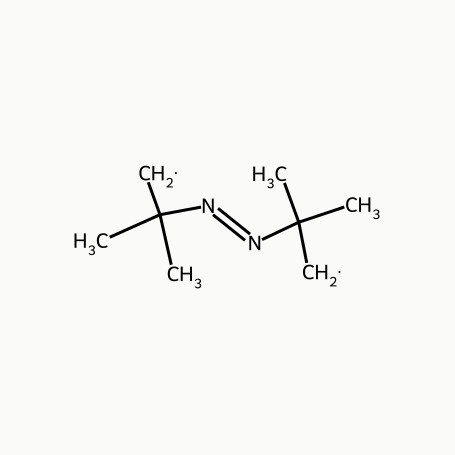 [CH2]C(C)(C)N=NC([CH2])(C)C